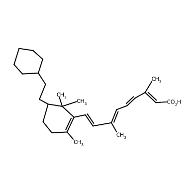 CC(C=CC1=C(C)CCC(CCC2CCCCC2)C1(C)C)=CC=CC(C)=CC(=O)O